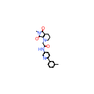 Cc1cccc(-c2ccc(NC(=O)CN3CCCC4=C3C(=O)N(C)C4=O)cn2)c1